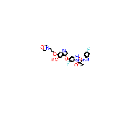 O=C(Nc1ccc(F)cc1)C1(C(=O)Nc2ccc(Oc3ccnc4cc(OCCCN5CCOCC5)c(O)cc34)c(F)c2)CC1